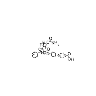 CC(N)=O.O=C(Nc1ccc(N2CCN(C(=O)O)CC2)cc1)c1nc(-c2ccccc2)oc1C(F)(F)F